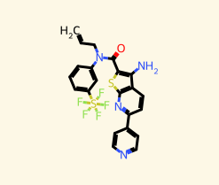 C=CCN(C(=O)c1sc2nc(-c3ccncc3)ccc2c1N)c1cccc(S(F)(F)(F)(F)F)c1